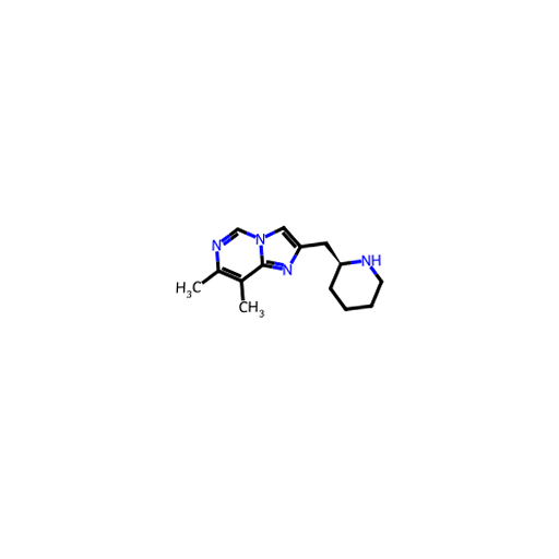 Cc1ncn2cc(C[C@@H]3CCCCN3)nc2c1C